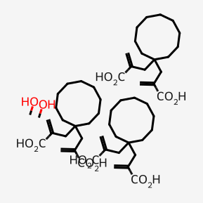 C=C(CC1(CC(=C)C(=O)O)CCCCCCCCC1)C(=O)O.C=C(CC1(CC(=C)C(=O)O)CCCCCCCCC1)C(=O)O.C=C(CC1(CC(=C)C(=O)O)CCCCCCCCC1)C(=O)O.CO.CO